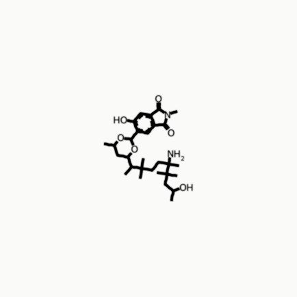 CC(O)CC(C)(C)C(C)(N)CCC(C)(C)C(C)C1CC(C)OC(c2cc3c(cc2O)C(=O)N(C)C3=O)O1